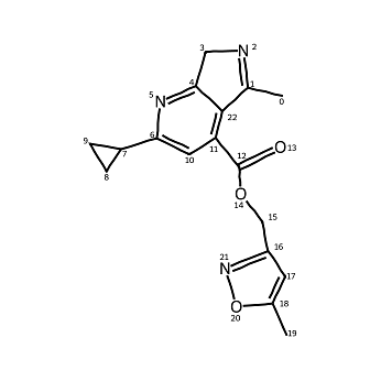 CC1=NCc2nc(C3CC3)cc(C(=O)OCc3cc(C)on3)c21